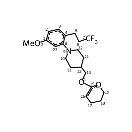 COc1ccc(CCC(F)(F)F)c(N2CCC(COC3=CCCCO3)CC2)c1